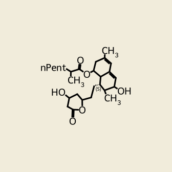 CCCCCC(C)C(=O)OC1CC(C)=CC2=CC(O)C(C)[C@H](CCC3CC(O)CC(=O)O3)C21